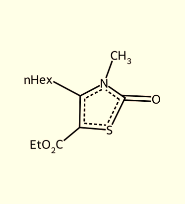 CCCCCCc1c(C(=O)OCC)sc(=O)n1C